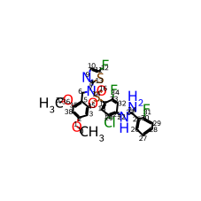 COc1ccc(CN(c2ncc(F)s2)S(=O)(=O)c2cc(Cl)c(N[C@@H](N)c3ccccc3F)cc2F)c(OC)c1